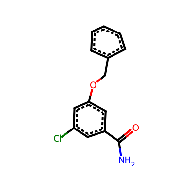 NC(=O)c1cc(Cl)cc(OCc2ccccc2)c1